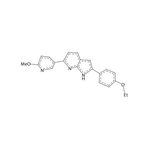 CCOc1ccc(-c2cc3ccc(-c4ccc(OC)nc4)nc3[nH]2)cc1